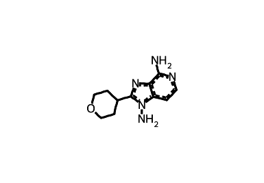 Nc1nccc2c1nc(C1CCOCC1)n2N